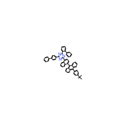 CC(C)(C)c1ccc(-c2c3ccccc3c(-c3ccc(-c4nc(-c5ccc(-c6ccccc6)cc5)nc(-c5ccccc5-c5ccccc5)n4)c4ccccc34)c3ccccc23)cc1